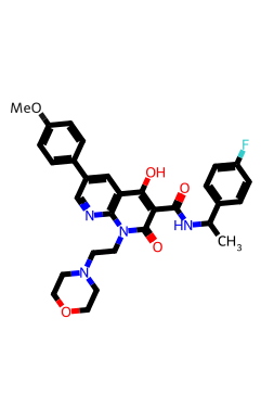 COc1ccc(-c2cnc3c(c2)c(O)c(C(=O)NC(C)c2ccc(F)cc2)c(=O)n3CCN2CCOCC2)cc1